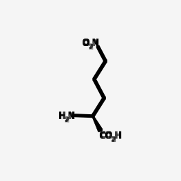 N[C@@H](CCC[N+](=O)[O-])C(=O)O